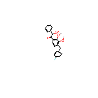 COc1c(Cc2ccc(F)cc2)ccc(C(=O)C(O)c2ccccc2)c1OC